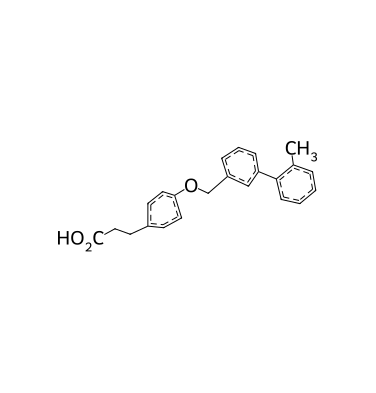 Cc1ccccc1-c1cccc(COc2ccc(CCC(=O)O)cc2)c1